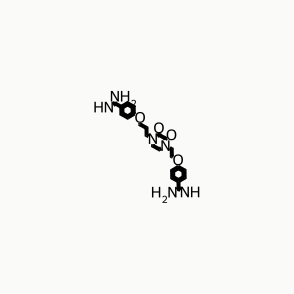 N=C(N)c1ccc(OCCCN2CCN(CCOc3ccc(C(=N)N)cc3)C(=O)C2=O)cc1